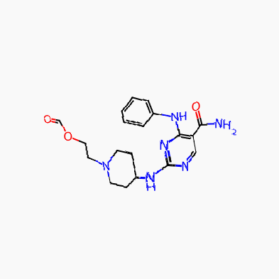 NC(=O)c1cnc(NC2CCN(CCOC=O)CC2)nc1Nc1ccccc1